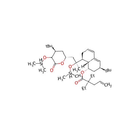 C=CCC(CC)(CC)C(=O)O[C@H]1C[C@H](C(C)(C)C)C=C2C=CC[C@H]([C@](C)(C[C@H]3C[C@H](C(C)(C)C)C(O[SiH](C)C)C(=O)O3)O[SiH](C)C)[C@H]21